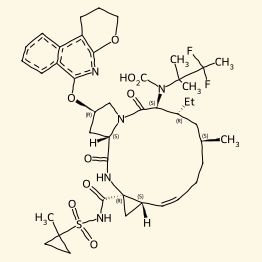 CC[C@@H]1C[C@@H](C)CCC=C[C@@H]2C[C@@]2(C(=O)NS(=O)(=O)C2(C)CC2)NC(=O)[C@@H]2C[C@@H](Oc3nc4c(c5ccccc35)CCCO4)CN2C(=O)[C@H]1N(C(=O)O)C(C)(C)C(C)(F)F